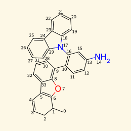 CC1CC=Cc2c1oc1c(-c3ccc(N)cc3-n3c4ccccc4c4ccccc43)cccc21